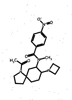 CC(=O)N1CCCC12CCC(N1CCC1)C(N(C)C(=O)c1ccc([N+](=O)[O-])cc1)C2